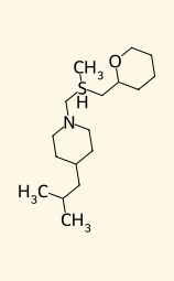 CC(C)CC1CCN(C[SH](C)CC2CCCCO2)CC1